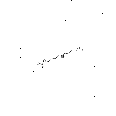 CCCCCNCCCCOC(C)=O